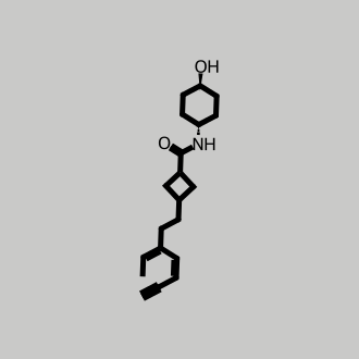 C#C/C=C\C(=C/C)CCC1CC(C(=O)N[C@H]2CC[C@H](O)CC2)C1